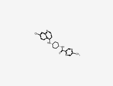 Cc1cnc(C(=O)N[C@H]2CC[C@@H](Nc3ccnc4cc(Cl)ccc34)CC2)cn1